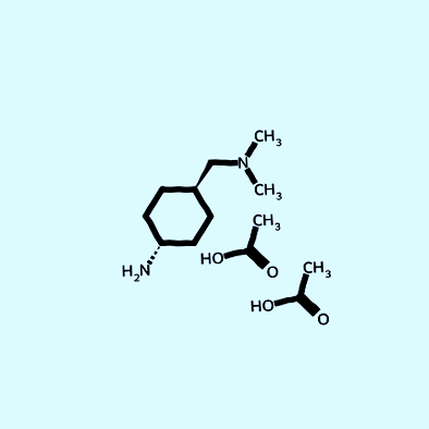 CC(=O)O.CC(=O)O.CN(C)C[C@H]1CC[C@H](N)CC1